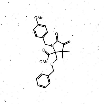 C=C1C(=O)N(Cc2ccc(OC)cc2)C(COCc2ccccc2)(C(=O)OC)C1(C)C